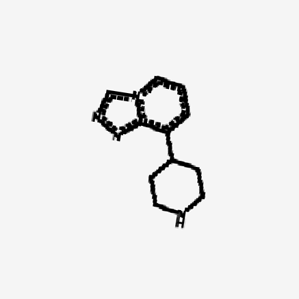 c1cc(C2CCNCC2)c2nncn2c1